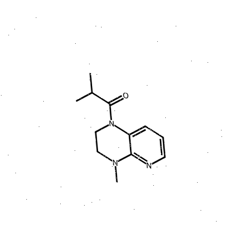 CC(C)C(=O)N1CCN(C)c2ncccc21